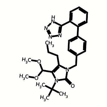 CCCc1c(C(OC)OC)n(C(C)(C)C)c(=O)n1Cc1ccc(-c2ccccc2-c2nnn[nH]2)cc1